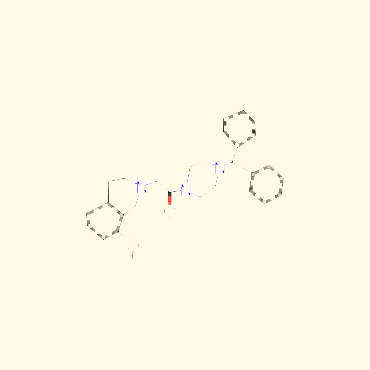 COc1cccc2c1CN(CC(=O)N1CCN(C(c3ccccc3)c3ccccc3)CC1)CC2